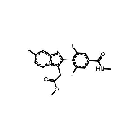 CNC(=O)c1cc(F)c(-c2nc3cc(C)ccn3c2CC(=O)OC)c(F)c1